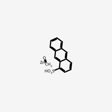 C=O.O=S(=O)(O)c1cccc2cc3ccccc3cc12.[Zn]